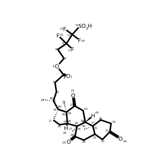 C[C@H](CCC(=O)OCCC(F)(F)C(F)(F)S(=O)(=O)O)[C@H]1CC[C@@H]2[C@]1(C)C(=O)C[C@H]1[C@@]2(C)C(=O)CC2CC(=O)CC[C@@]21C